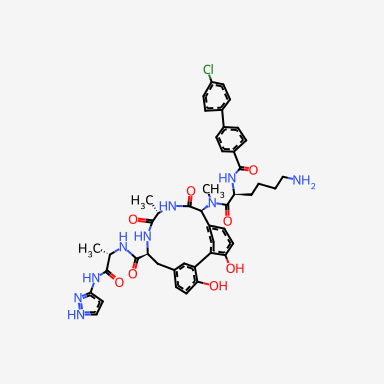 C[C@H](NC(=O)[C@@H]1Cc2ccc(O)c(c2)-c2cc(ccc2O)[C@H](N(C)C(=O)[C@H](CCCCN)NC(=O)c2ccc(-c3ccc(Cl)cc3)cc2)C(=O)N[C@@H](C)C(=O)N1)C(=O)Nc1cc[nH]n1